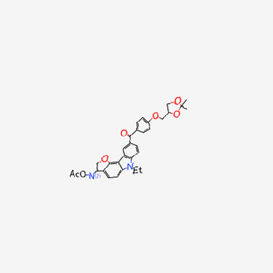 CCn1c2ccc(C(=O)c3ccc(OCC4COC(C)(C)O4)cc3)cc2c2c3c(ccc21)/C(=N/OC(C)=O)CO3